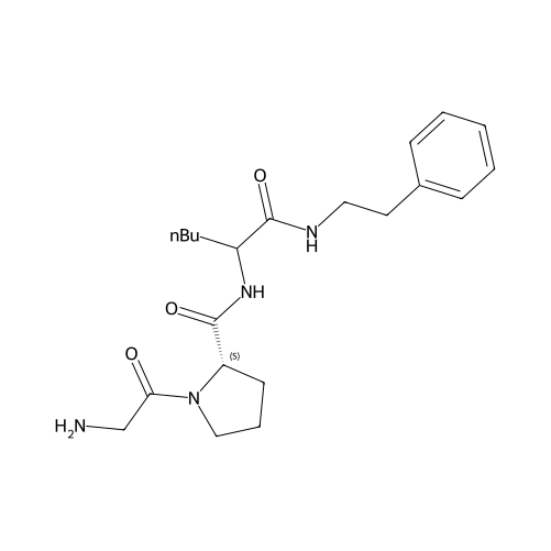 CCCCC(NC(=O)[C@@H]1CCCN1C(=O)CN)C(=O)NCCc1ccccc1